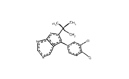 CC(C)(C)c1sc2ncncc2c1-c1ccc(Cl)c(Cl)c1